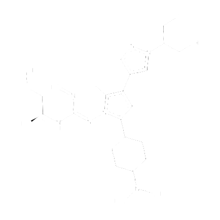 C=N/C(=N\n1c(C2CCC(N(C)C)CC2)cc(-c2cnn(C(CO)CCl)c2)c1C)N[C@@H](C)COC